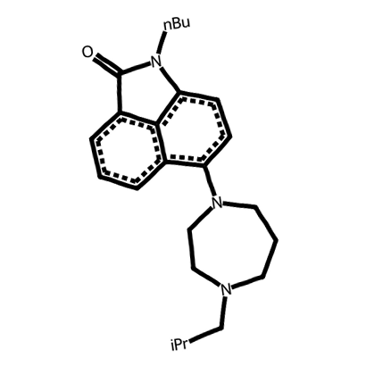 CCCCN1C(=O)c2cccc3c(N4CCCN(CC(C)C)CC4)ccc1c23